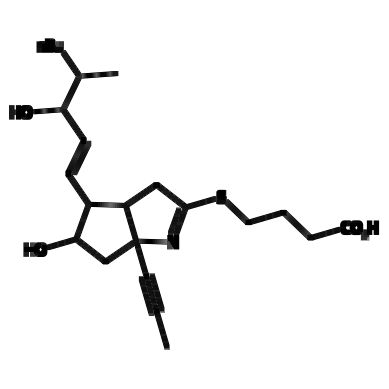 CC#CC12CC(O)C(C=CC(O)C(C)CCCC)C1CC(SCCCC(=O)O)=N2